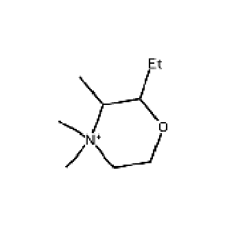 CCC1OCC[N+](C)(C)C1C